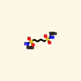 CNNS(=O)(=O)CCCCS(=O)(=O)NNC